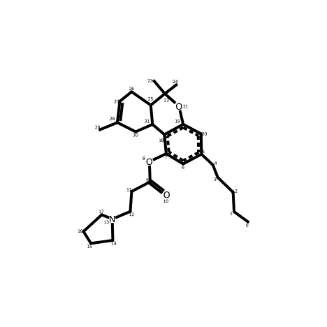 CCCCCc1cc(OC(=O)CCN2CCCC2)c2c(c1)OC(C)(C)C1CC=C(C)CC21